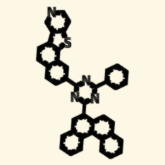 c1ccc(-c2nc(-c3ccc4ccc5c6cnccc6sc5c4c3)nc(-c3cc4ccccc4c4c3ccc3ccccc34)n2)cc1